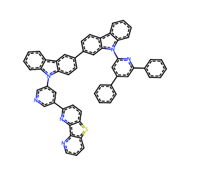 c1ccc(-c2cc(-c3ccccc3)nc(-n3c4ccccc4c4ccc(-c5ccc6c(c5)c5ccccc5n6-c5cncc(-c6ccc7sc8cccnc8c7n6)c5)cc43)c2)cc1